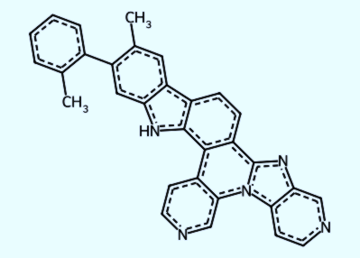 Cc1ccccc1-c1cc2[nH]c3c(ccc4c3c3ccncc3n3c5ccncc5nc43)c2cc1C